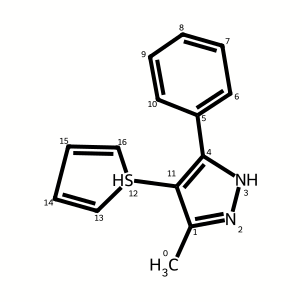 Cc1n[nH]c(-c2ccccc2)c1[SH]1C=CC=C1